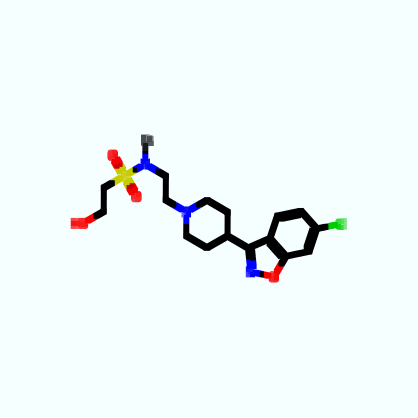 CCN(CCN1CCC(c2noc3cc(Cl)ccc23)CC1)S(=O)(=O)CCO